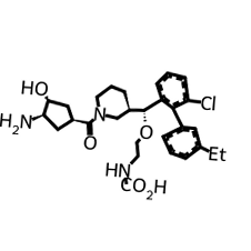 CCc1cccc(-c2c(Cl)cccc2[C@H](OCCNC(=O)O)[C@@H]2CCCN(C(=O)[C@H]3C[C@@H](N)[C@@H](O)C3)C2)c1